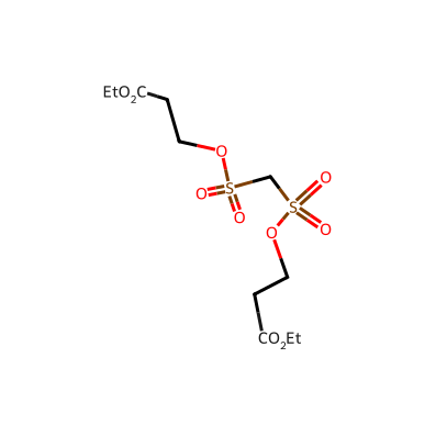 CCOC(=O)CCOS(=O)(=O)CS(=O)(=O)OCCC(=O)OCC